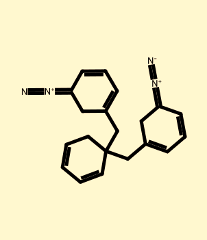 [N-]=[N+]=C1C=CC=C(CC2(CC3=CC=CC(=[N+]=[N-])C3)C=CC=CC2)C1